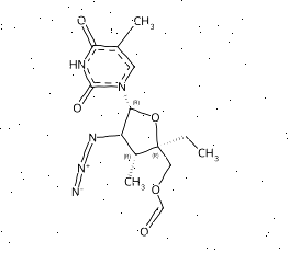 CC[C@@]1(COC=O)O[C@@H](n2cc(C)c(=O)[nH]c2=O)C(N=[N+]=[N-])[C@H]1C